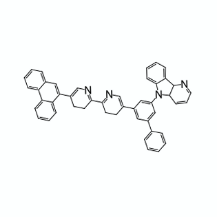 C1=CC2C(N=C1)c1ccccc1N2c1cc(C2=CN=C(C3=NC=C(c4cc5ccccc5c5ccccc45)CC3)CC2)cc(-c2ccccc2)c1